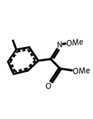 CON=C(C(=O)OC)c1cccc(C)c1